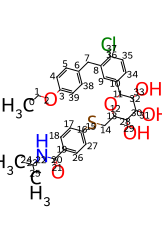 CCOc1ccc(Cc2cc(C3OC(CSc4ccc(C(=O)NC(C)C)cc4)C(O)C(O)C3O)ccc2Cl)cc1